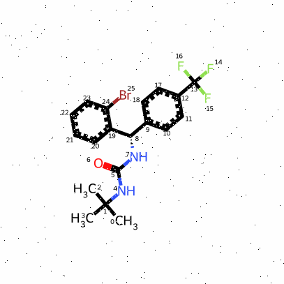 CC(C)(C)NC(=O)N[C@@H](c1ccc(C(F)(F)F)cc1)c1ccccc1Br